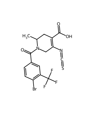 CC1CC(C(=O)O)=C(N=C=S)CN1C(=O)c1ccc(Br)c(C(F)(F)F)c1